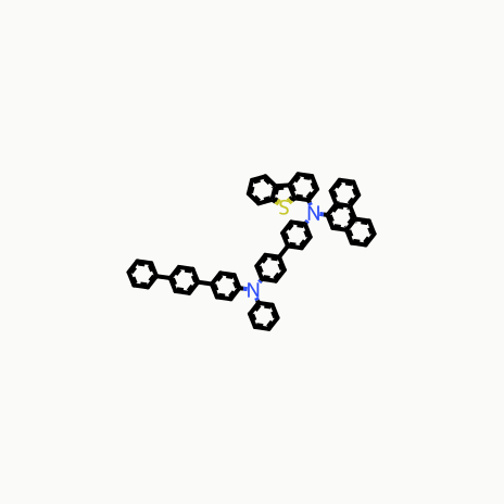 c1ccc(-c2ccc(-c3ccc(N(c4ccccc4)c4ccc(-c5ccc(N(c6cc7ccccc7c7ccccc67)c6cccc7c6sc6ccccc67)cc5)cc4)cc3)cc2)cc1